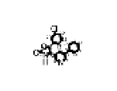 O=C1N[C@H](c2cncc(-c3ccccc3)c2)[C@@H](c2cccc(Cl)c2)O1